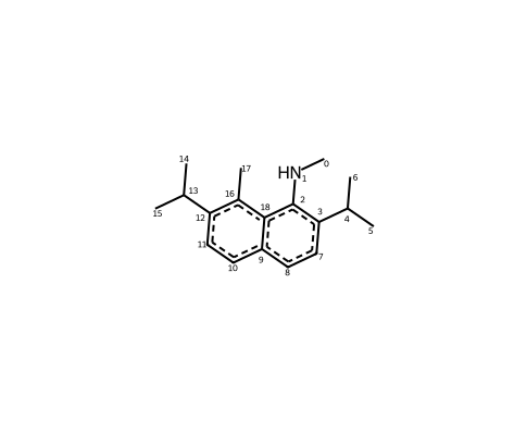 CNc1c(C(C)C)ccc2ccc(C(C)C)c(C)c12